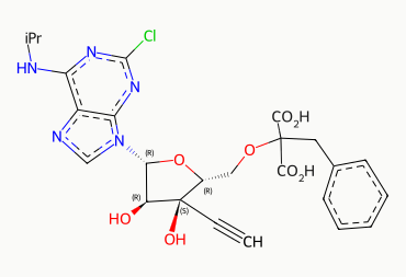 C#C[C@@]1(O)[C@@H](COC(Cc2ccccc2)(C(=O)O)C(=O)O)O[C@@H](n2cnc3c(NC(C)C)nc(Cl)nc32)[C@@H]1O